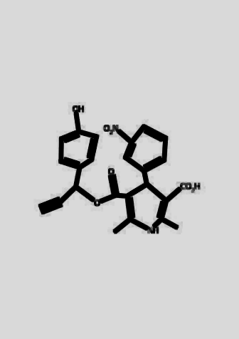 C#CC(OC(=O)C1=C(C)NC(C)=C(C(=O)O)C1c1cccc([N+](=O)[O-])c1)c1ccc(O)cc1